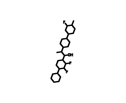 CC1CCC(C2CCC(C(C)C(O)C3CCC(C4CCCCC4)C(F)C3F)CC2)CC1F